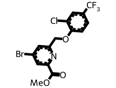 COC(=O)c1cc(Br)cc(COc2ccc(C(F)(F)F)cc2Cl)n1